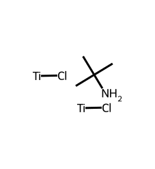 CC(C)(C)N.[Cl][Ti].[Cl][Ti]